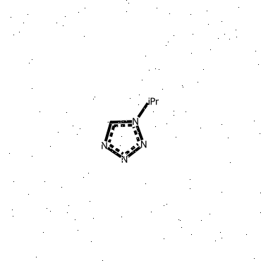 CC(C)n1[c]nnn1